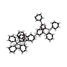 c1ccc(-c2ccc(N(c3ccccc3)c3ccccc3-c3cccc(-c4ccc5c(c4)c4ccccc4n5-c4cccc5c4C(c4ccccc4)(c4ccccc4)c4ccccc4-5)c3)s2)cc1